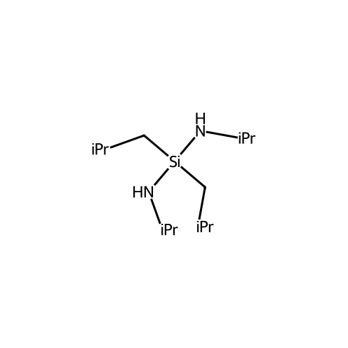 CC(C)C[Si](CC(C)C)(NC(C)C)NC(C)C